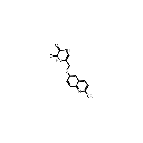 O=c1[nH]cc(CSc2ccc3nc(C(F)(F)F)ccc3c2)[nH]c1=O